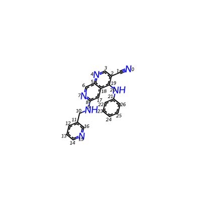 N#Cc1cnc2cnc(NCc3cccnc3)cc2c1Nc1ccccc1